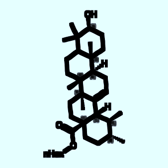 CCCCCCOC(=O)[C@]12CC[C@@H](C)[C@H](C)[C@H]1C1=CC[C@@H]3[C@@]4(C)CC[C@H](O)C(C)(C)C4CC[C@@]3(C)[C@]1(C)CC2